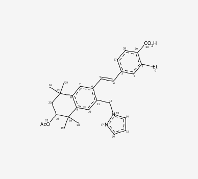 CCc1cc(C=Cc2cc3c(cc2Cn2cccn2)C(C)(C)C(OC(C)=O)CC3(C)C)ccc1C(=O)O